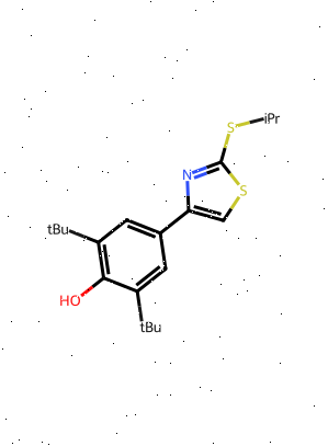 CC(C)Sc1nc(-c2cc(C(C)(C)C)c(O)c(C(C)(C)C)c2)cs1